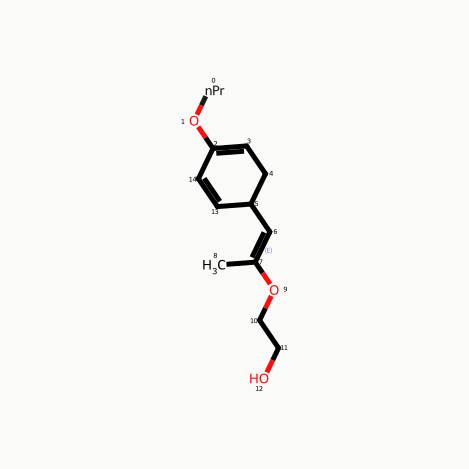 CCCOC1=CCC(/C=C(\C)OCCO)C=C1